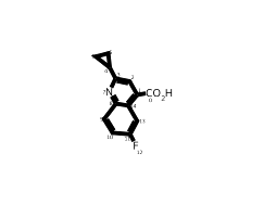 O=C(O)c1cc(C2CC2)nc2ccc(F)cc12